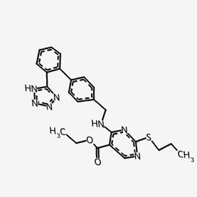 CCCSc1ncc(C(=O)OCC)c(NCc2ccc(-c3ccccc3-c3nnn[nH]3)cc2)n1